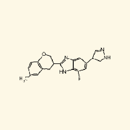 Cc1ccc2c(c1)CC(c1nc3cc(C4C=NNC4)cc(F)c3[nH]1)CO2